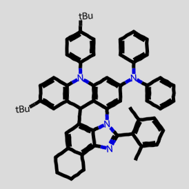 Cc1cccc(C)c1-c1nc2c3c(cc4c2n1-c1cc(N(c2ccccc2)c2ccccc2)cc2c1C4c1cc(C(C)(C)C)ccc1N2c1ccc(C(C)(C)C)cc1)CCCC3